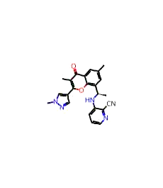 Cc1cc([C@@H](C)Nc2cccnc2C#N)c2oc(-c3cnn(C)c3)c(C)c(=O)c2c1